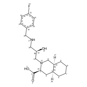 O=C(O)[C@@H]1C[C@@H]2CCCC[C@@H]2CN1C[C@H](O)CNCc1ccc(F)cc1